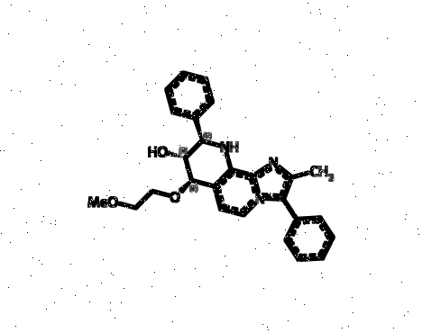 COCCO[C@@H]1c2ccn3c(-c4ccccc4)c(C)nc3c2N[C@H](c2ccccc2)[C@H]1O